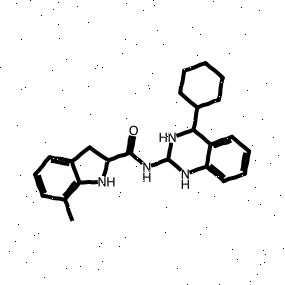 Cc1cccc2c1NC(C(=O)NC1Nc3ccccc3C(C3CCCCC3)N1)C2